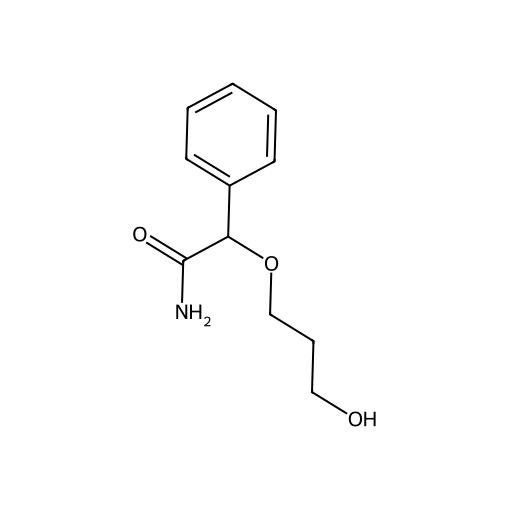 NC(=O)C(OCCCO)c1ccccc1